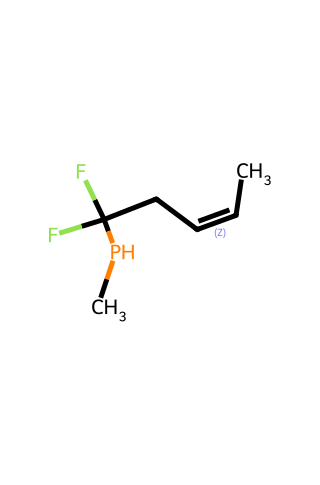 C/C=C\CC(F)(F)PC